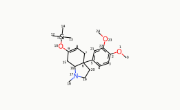 COc1ccc(C23CC=C(O[Si](C)(C)C)CC2N(C)CC3)cc1OC